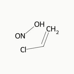 C=CCl.O=NO